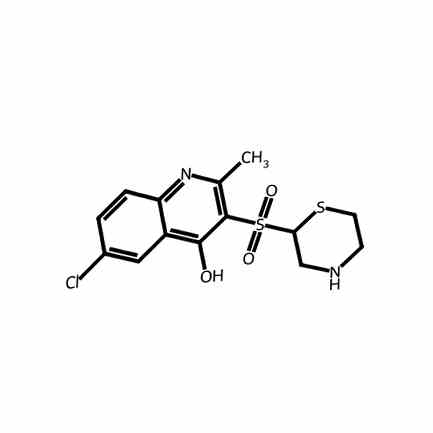 Cc1nc2ccc(Cl)cc2c(O)c1S(=O)(=O)C1CNCCS1